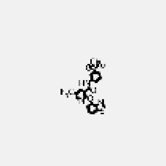 CS(=O)(=O)c1cccc(NC(=O)c2cc(C(F)(F)F)cnc2Oc2cccc3scnc23)c1